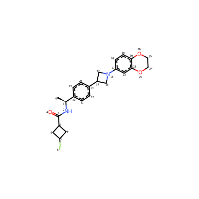 C[C@H](NC(=O)C1CC(F)C1)c1ccc(C2CN(c3ccc4c(c3)OCCO4)C2)cc1